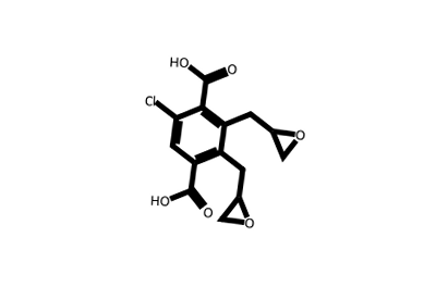 O=C(O)c1cc(Cl)c(C(=O)O)c(CC2CO2)c1CC1CO1